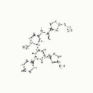 Cc1ccc(NC(=O)N2CCC(CC(F)(F)F)C2)cc1-c1cc(N2CCOCC2)nc(N2CCC(O)C2)c1